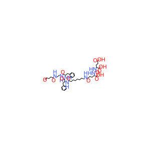 O=CCCC(=O)NCCNC(=O)C(Cc1ccccc1)NC(=O)C(Cc1ccccc1)NC(=O)CCCCCCCNC(=O)CCC(NC(=O)NC(CCC(=O)O)C(=O)O)C(=O)O